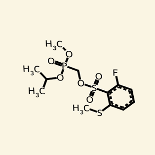 COP(=O)(COS(=O)(=O)c1c(F)cccc1SC)OC(C)C